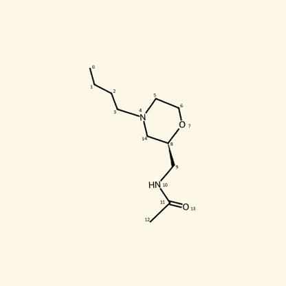 CCCCN1CCO[C@@H](CNC(C)=O)C1